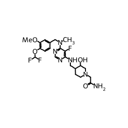 COc1cc(CN(C)c2ncnc(NCC3CCN(CC(N)=O)CC3O)c2F)ccc1OC(F)F